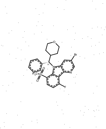 CS(=O)(=O)c1ccc(F)c2c3ncc(Br)cc3n([C@H](c3ccccc3)C3CCOCC3)c12